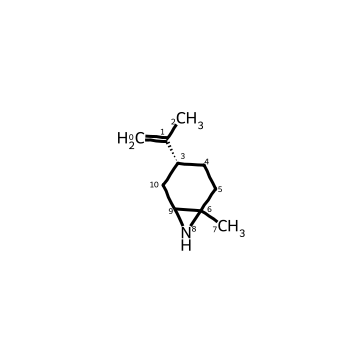 C=C(C)[C@@H]1CCC2(C)NC2C1